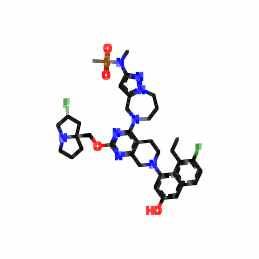 CCc1c(F)ccc2cc(O)cc(N3CCc4c(nc(OC[C@@]56CCCN5C[C@H](F)C6)nc4N4CCCn5nc(N(C)S(C)(=O)=O)cc5C4)C3)c12